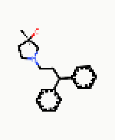 C[C@]1(O)CCN(CCC(c2ccccc2)c2ccccc2)C1